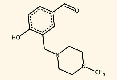 CN1CCN(Cc2cc(C=O)ccc2O)CC1